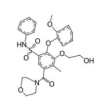 COc1ccccc1Oc1c(S(=O)(=O)Nc2ccccc2)cc(C(=O)N2CCOCC2)c(C)c1OCCO